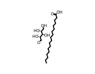 CCCCCCCCCCCCCCCCCC(=O)O.O=C[C@H](O)[C@H](O)[C@H](O)CO